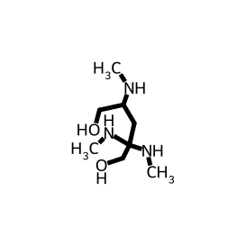 CNC(CO)CC(CO)(NC)NC